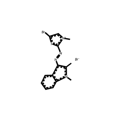 Cc1c(/N=N/c2sc(Br)c[n+]2C)c2ccccc2n1C.[Br-]